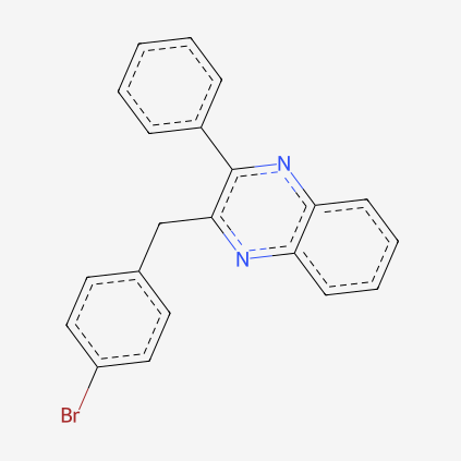 Brc1ccc(Cc2nc3ccccc3nc2-c2ccccc2)cc1